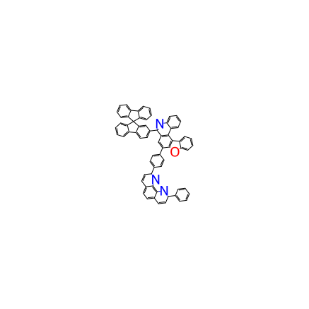 c1ccc(-c2ccc3ccc4ccc(-c5ccc(-c6cc7c(-c8ccc9c(c8)C8(c%10ccccc%10-c%10ccccc%108)c8ccccc8-9)nc8ccccc8c7c7c6oc6ccccc67)cc5)nc4c3n2)cc1